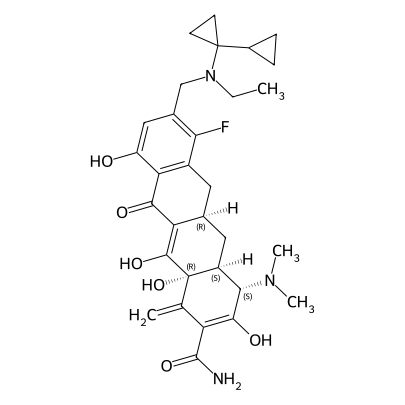 C=C1C(C(N)=O)=C(O)[C@@H](N(C)C)[C@@H]2C[C@@H]3Cc4c(F)c(CN(CC)C5(C6CC6)CC5)cc(O)c4C(=O)C3=C(O)[C@]12O